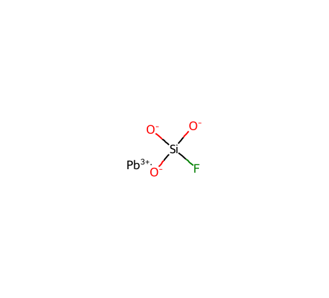 [O-][Si]([O-])([O-])F.[Pb+3]